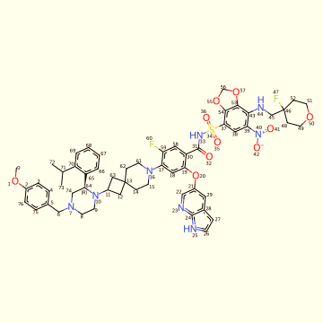 COc1ccc(CN2CCN(C3CC4(CCN(c5cc(Oc6cnc7[nH]ccc7c6)c(C(=O)NS(=O)(=O)c6cc([N+](=O)[O-])c(NCC7(F)CCOCC7)c7c6OCO7)cc5F)CC4)C3)[C@H](c3ccccc3C(C)C)C2)cc1